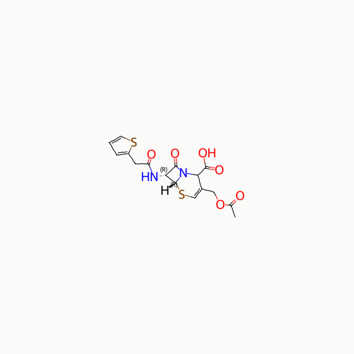 CC(=O)OCC1=CS[C@@H]2[C@H](NC(=O)Cc3cccs3)C(=O)N2C1C(=O)O